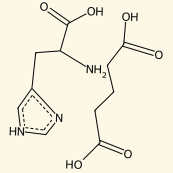 NC(Cc1c[nH]cn1)C(=O)O.O=C(O)CCCC(=O)O